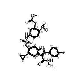 CNC(=O)c1c(-c2ccc(F)cc2)oc2cc(CS(=O)(=O)Nc3ccc([N+](=O)[O-])c(CC(=O)O)c3)c(C3CC3)cc12